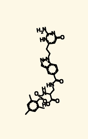 Cc1cc(C)c(S(=O)(=O)NC(CNC(=O)c2ccc3c(cnn3CCc3cc(=O)nc(N)[nH]3)c2)C(=O)O)c(C)c1